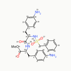 COC(=O)[C@H](Cc1ccc(N)cc1)NC(=O)[C@@H](Cc1ccc(N)cc1)NS(=O)(=O)Cc1ccccc1